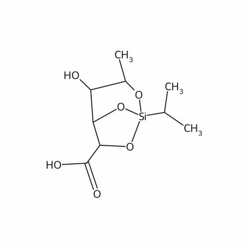 CC1O[Si]2(C(C)C)OC(C(=O)O)C(O2)C1O